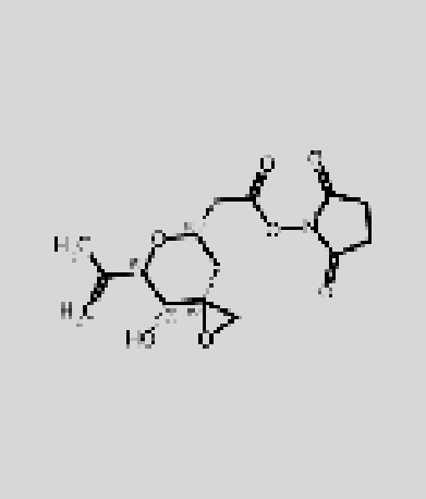 C=C(C)[C@H]1O[C@H](CC(=O)ON2C(=O)CCC2=O)C[C@@]2(CO2)[C@@H]1O